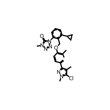 C=C(/C=C\C(OCc1c(C2CC2)cccc1-n1nnn(C)c1=O)=C(C)C)c1nn(C)c(Cl)c1C